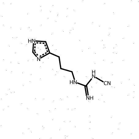 N#CNC(=N)NCCCc1c[nH]cn1